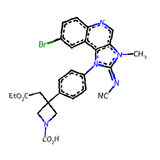 CCOC(=O)CC1(c2ccc(-n3c(=NC#N)n(C)c4cnc5ccc(Br)cc5c43)cc2)CN(C(=O)O)C1